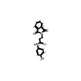 CC(C)c1ccc(NC(=O)CCN2C(=O)c3ccccc3C2=O)cc1